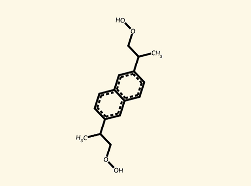 CC(COO)c1ccc2cc(C(C)COO)ccc2c1